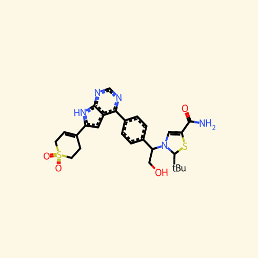 CC(C)(C)C1SC(C(N)=O)=CN1C(CO)c1ccc(-c2ncnc3[nH]c(C4=CCS(=O)(=O)CC4)cc23)cc1